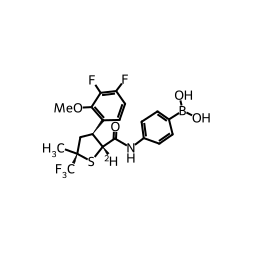 [2H][C@@]1(C(=O)Nc2ccc(B(O)O)cc2)S[C@@](C)(C(F)(F)F)C[C@H]1c1ccc(F)c(F)c1OC